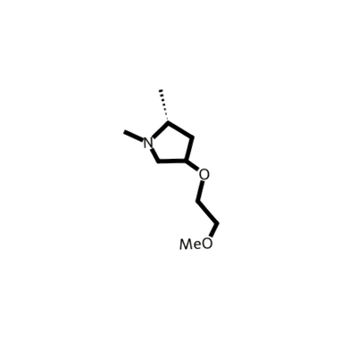 COCCOC1C[C@@H](C)N(C)C1